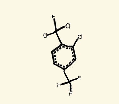 FC(F)(F)c1ccc(C(F)(Cl)Cl)c(Cl)c1